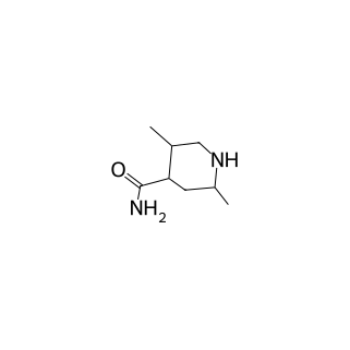 CC1CC(C(N)=O)C(C)CN1